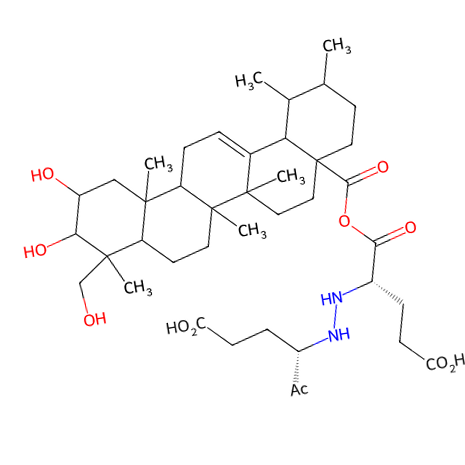 CC(=O)[C@H](CCC(=O)O)NN[C@@H](CCC(=O)O)C(=O)OC(=O)C12CCC(C)C(C)C1C1=CCC3C4(C)CC(O)C(O)C(C)(CO)C4CCC3(C)C1(C)CC2